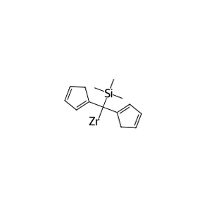 C[Si](C)(C)[C]([Zr])(C1=CC=CC1)C1=CC=CC1